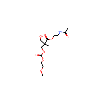 COCCOC(=O)OCC(C)(CO)C(=O)OCCNC(C)=O